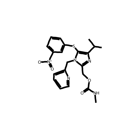 CNC(=O)OCc1nc(C(C)C)c(Sc2cccc([N+](=O)[O-])c2)n1Cc1ccccn1